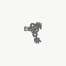 CCOc1cccc(-n2nnn(C)c2=O)c1COc1ccc(-c2cc(C)n(C)n2)cc1C